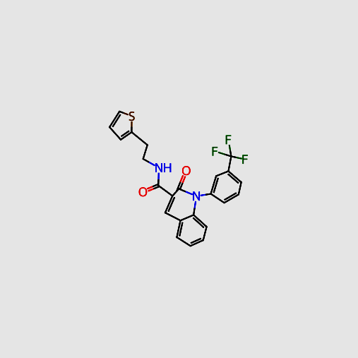 O=C(NCCc1cccs1)c1cc2ccccc2n(-c2cccc(C(F)(F)F)c2)c1=O